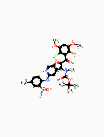 COc1cc(OC)c(P)c(C(=O)c2oc3cnc(Nc4ccc(C)cc4[N+](=O)[O-])cc3c2N(C)C(=O)OC(C)(C)C)c1F